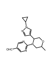 CC1CN(c2ncc(C=O)cn2)C(c2cnn(C3CC3)c2)CO1